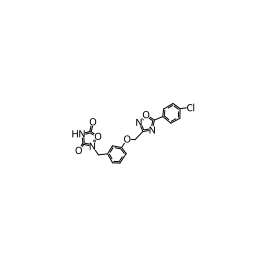 O=c1[nH]c(=O)n(Cc2cccc(OCc3noc(-c4ccc(Cl)cc4)n3)c2)o1